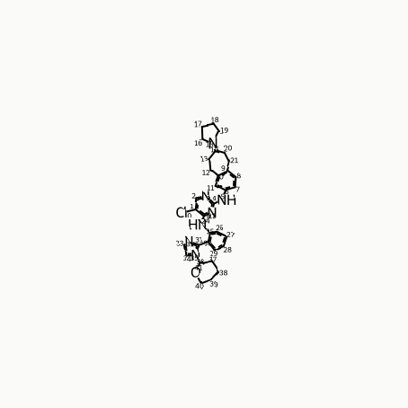 Clc1cnc(Nc2ccc3c(c2)CC[C@@H](N2CCCC2)CC3)nc1Nc1ccccc1-c1nccn1C1CCCCO1